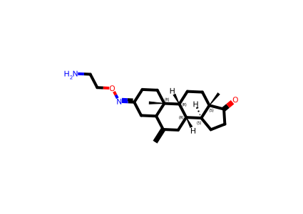 C=C1C[C@@H]2[C@@H](CC[C@]3(C)C(=O)CC[C@@H]23)[C@@]2(C)CCC(=NOCCN)CC12